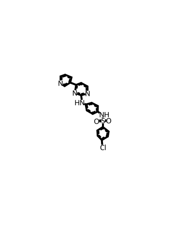 O=S(=O)(Nc1ccc(Nc2nccc(-c3cccnc3)n2)cc1)c1ccc(Cl)cc1